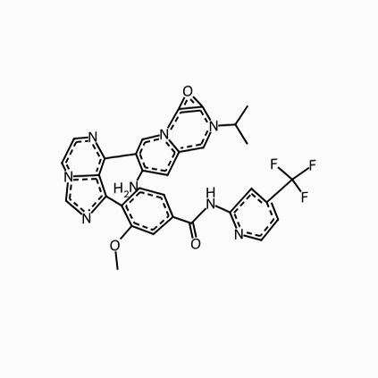 COc1cc(C(=O)Nc2cc(C(F)(F)F)ccn2)ccc1-c1ncn2ccnc(-c3cn4c5oc=5n(C(C)C)cc4cc3N)c12